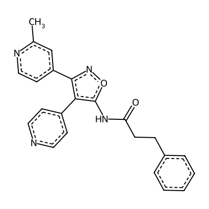 Cc1cc(-c2noc(NC(=O)CCc3ccccc3)c2-c2ccncc2)ccn1